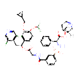 O=C(CNC(=O)c1cccc(S(=O)(=O)NC(C(=O)O[C@H]2CN3CCC2CC3)c2ccccc2)c1)O[C@@H](Cc1c(Cl)cncc1Cl)c1ccc(OC(F)F)c(OCC2CC2)c1